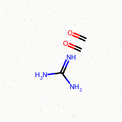 C=O.C=O.N=C(N)N